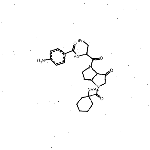 CC(=O)NC1(C(=O)N2CC(=O)C3C2CCN3C(=O)C(CC(C)C)NC(=O)c2ccc(N)cc2)CCCCC1